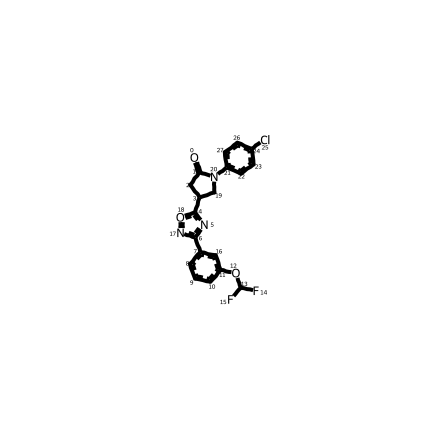 O=C1CC(c2nc(-c3cccc(OC(F)F)c3)no2)CN1c1ccc(Cl)cc1